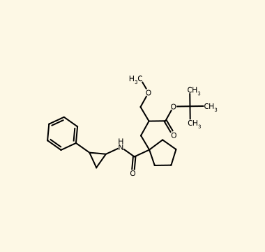 COCC(CC1(C(=O)NC2CC2c2ccccc2)CCCC1)C(=O)OC(C)(C)C